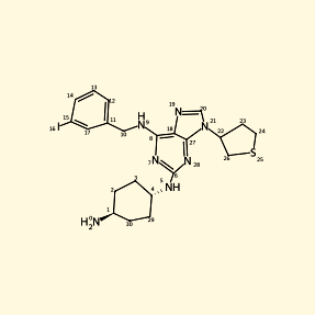 N[C@H]1CC[C@H](Nc2nc(NCc3cccc(I)c3)c3ncn(C4CCSC4)c3n2)CC1